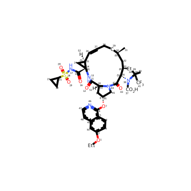 CCOc1ccc2c(O[C@@H]3C[C@H]4C(=O)N[C@]5(C(=O)NS(=O)(=O)C6CC6)C[C@H]5C=CCC[C@@H](C)C[C@@H](CC)[C@H](N(C(=O)O)C(C)(C)C(F)(F)F)C(=O)N4C3)nccc2c1